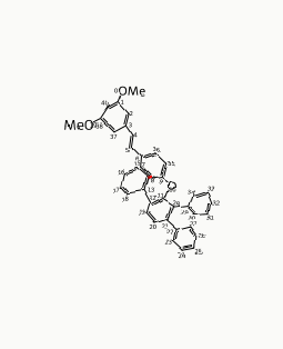 COc1cc(/C=C/c2ccc(Oc3c(-c4ccccc4)ccc(-c4ccccc4)c3-c3ccccc3)cc2)cc(OC)c1